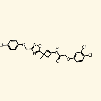 CC1(c2nc(COc3ccc(Cl)cc3)no2)C=C(NC(=O)COc2ccc(Cl)c(Cl)c2)C1